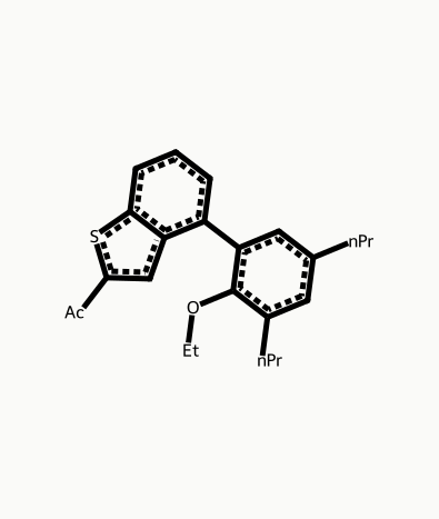 CCCc1cc(CCC)c(OCC)c(-c2cccc3sc(C(C)=O)cc23)c1